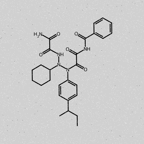 CCC(C)c1ccc(N(C(=O)C(=O)NC(=O)c2ccccc2)N(NC(=O)C(N)=O)C2CCCCC2)cc1